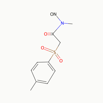 Cc1ccc(S(=O)(=O)CC(=O)N(C)N=O)cc1